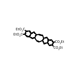 CCOC(=O)c1cc2cc3c(cc2cc1C(=O)OCC)/C=C\c1cc2cc(C(=O)OCC)c(C(=O)OCC)cc2cc1/C=C\3